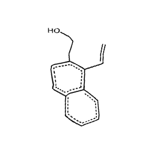 C=Cc1c(CO)ccc2ccccc12